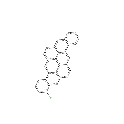 Clc1cccc2c1cc1ccc3cc4c5ccccc5cc5ccc6cc2c1c3c6c54